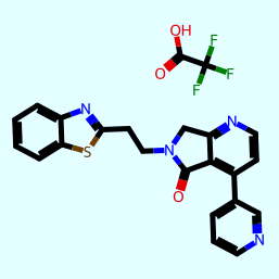 O=C(O)C(F)(F)F.O=C1c2c(-c3cccnc3)ccnc2CN1CCc1nc2ccccc2s1